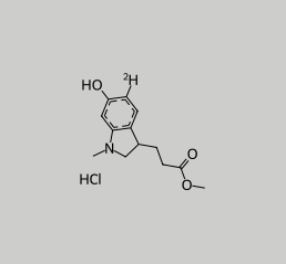 Cl.[2H]c1cc2c(cc1O)N(C)CC2CCC(=O)OC